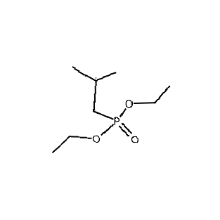 CCOP(=O)(C[C](C)C)OCC